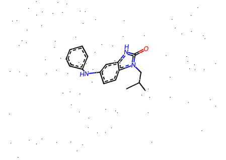 CC(C)Cn1c(=O)[nH]c2cc(Nc3ccccc3)ccc21